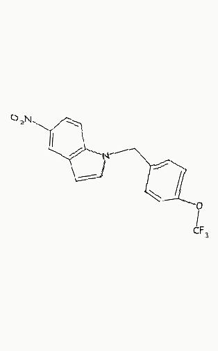 O=[N+]([O-])c1ccc2c(ccn2Cc2ccc(OC(F)(F)F)cc2)c1